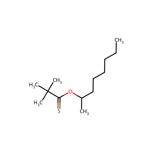 CCCCCCC(C)OC(=S)C(C)(C)C